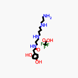 NCCCNCCCCNCCCNC(=O)Cc1ccc(O)cc1O.O=C(O)C(F)(F)F